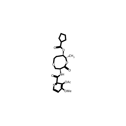 COc1ccnc(C(=O)N[C@H]2COCC[C@@H](OC(=O)C3CCCC3)[C@H](C)OC2=O)c1OC(C)=O